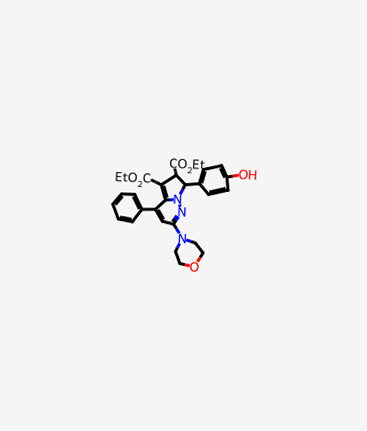 CCOC(=O)C1=C2C(c3ccccc3)=CC(N3CCOCC3)=NN2C(c2ccc(O)cc2)C1C(=O)OCC